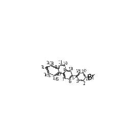 Brc1ccc(-c2ccc3c(ccc4ccccc43)c2)cc1